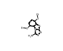 CCOc1ccc(OCC)c2c1sc1nnc(N)n12